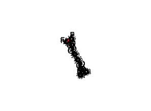 O=C(OC1COC(c2ccc(F)cc2)(c2ccc(F)cc2)OC1)c1ccc(-c2ccc(C(=O)OC3COC4(OC3)c3ccccc3-c3ccccc34)cc2)cc1